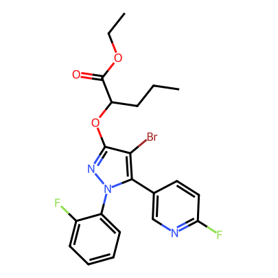 CCCC(Oc1nn(-c2ccccc2F)c(-c2ccc(F)nc2)c1Br)C(=O)OCC